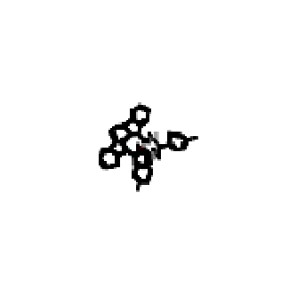 Cc1ccc(-c2nc(-c3ccc(C)cc3)nc(C3c4ccccc4-c4ccc5c(c43)C(c3ccccc3)c3ccccc3-5)n2)cc1